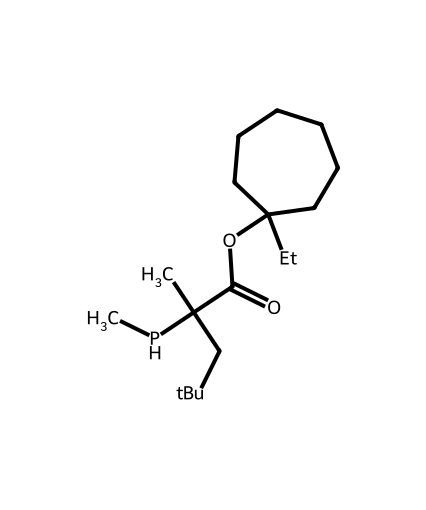 CCC1(OC(=O)C(C)(CC(C)(C)C)PC)CCCCCC1